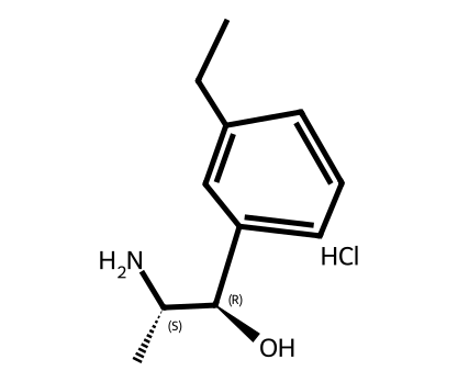 CCc1cccc([C@@H](O)[C@H](C)N)c1.Cl